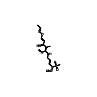 C=N/C(NC/C=C/N(NC)S(C)(=O)=O)=C(/C)C(=N)/C=C/O/N=C/C